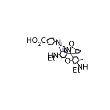 CCNc1cc2c(cc1C)C1(c3cc(C)c(NCC)cc3O2)c2ccccc2C(=O)N1/N=C/C=N/c1ccc(C(=O)O)cc1